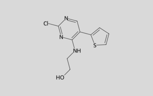 OCCNc1nc(Cl)ncc1-c1cccs1